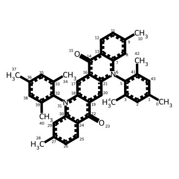 Cc1cc(C)c(-n2c3cc(C)ccc3c(=O)c3cc4c(cc32)c(=O)c2ccc(C)cc2n4-c2c(C)cc(C)cc2C)c(C)c1